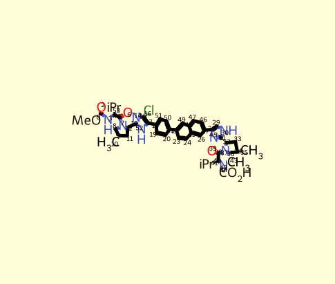 COC(=O)N[C@H](C(=O)N1CC(C)CC1c1nc(Cl)c(-c2ccc(-c3ccc4cc(-c5c[nH]c([C@@H]6C[C@H](C)CN6C(=O)[C@H](C(C)C)N(C)C(=O)O)n5)ccc4c3)cc2)[nH]1)C(C)C